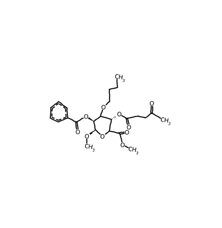 CCCCOC1[C@H](OC(=O)CCC(C)=O)C(C(=O)OC)O[C@@H](OC)[C@H]1OC(=O)c1ccccc1